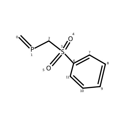 C=PCS(=O)(=O)c1ccccc1